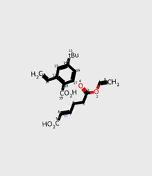 C=COC(=O)CC/C=C/C(=O)O.C=Cc1cc(C(C)(C)C)ccc1C(=O)O